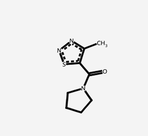 Cc1nnsc1C(=O)N1CCCC1